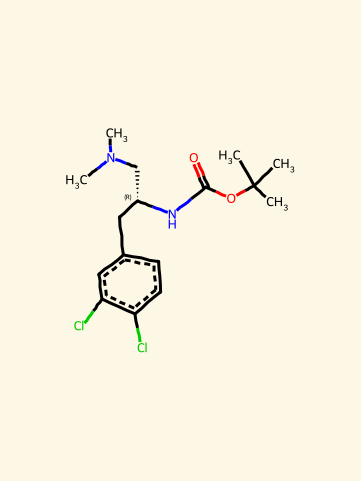 CN(C)C[C@@H](Cc1ccc(Cl)c(Cl)c1)NC(=O)OC(C)(C)C